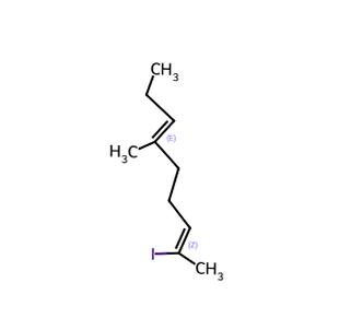 CC/C=C(\C)CC/C=C(/C)I